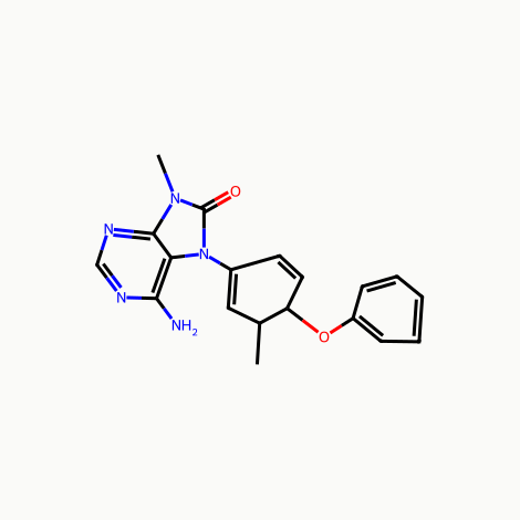 CC1C=C(n2c(=O)n(C)c3ncnc(N)c32)C=CC1Oc1ccccc1